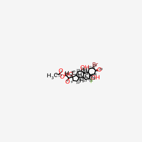 CC(=O)OCC(=O)[C@@]1(O)CC[C@H]2[C@@H]3C[C@@H](F)[C@@]4(O)CC(=O)C(Br)C[C@]4(C)[C@H]3[C@H](O)C[C@@]21C